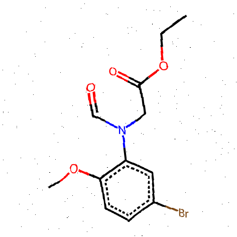 CCOC(=O)CN(C=O)c1cc(Br)ccc1OC